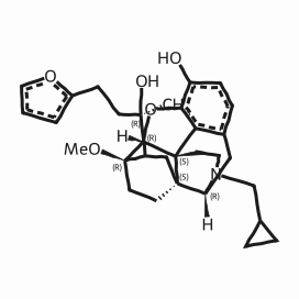 CO[C@]12CC[C@@]3(CC1[C@](C)(O)CCc1ccco1)[C@H]1Cc4ccc(O)c5c4[C@@]3(CCN1CC1CC1)[C@H]2O5